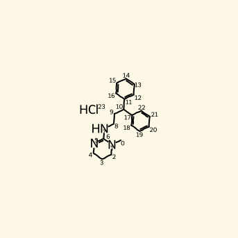 CN1CCCN=C1NCCC(c1ccccc1)c1ccccc1.Cl